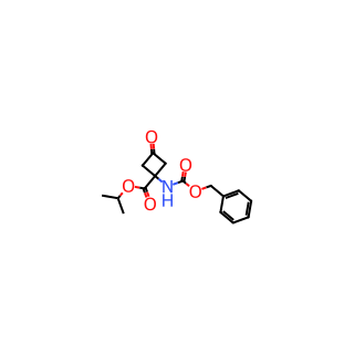 CC(C)OC(=O)C1(NC(=O)OCc2ccccc2)CC(=O)C1